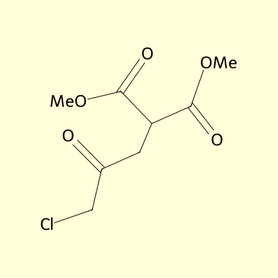 COC(=O)C(CC(=O)CCl)C(=O)OC